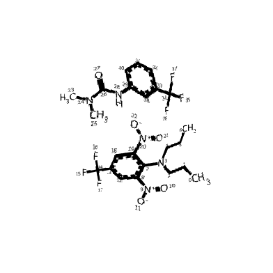 CCCN(CCC)c1c([N+](=O)[O-])cc(C(F)(F)F)cc1[N+](=O)[O-].CN(C)C(=O)Nc1cccc(C(F)(F)F)c1